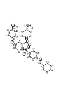 NC1CCN(C(=O)[C@@H]2C[C@H](Oc3ccc(C(F)(F)F)cc3)CCN2S(=O)(=O)c2ccc(OCC3CCCCC3)cc2)CC1